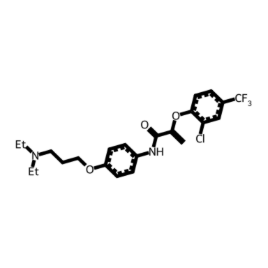 C=C(Oc1ccc(C(F)(F)F)cc1Cl)C(=O)Nc1ccc(OCCCN(CC)CC)cc1